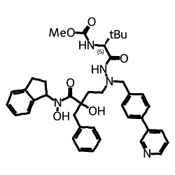 COC(=O)N[C@H](C(=O)NN(CCC(O)(Cc1ccccc1)C(=O)N(O)C1CCc2ccccc21)Cc1ccc(-c2cccnc2)cc1)C(C)(C)C